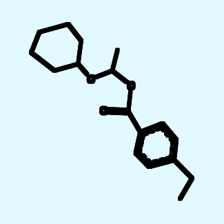 CCc1ccc(C(=O)OC(C)OC2CCCCC2)cc1